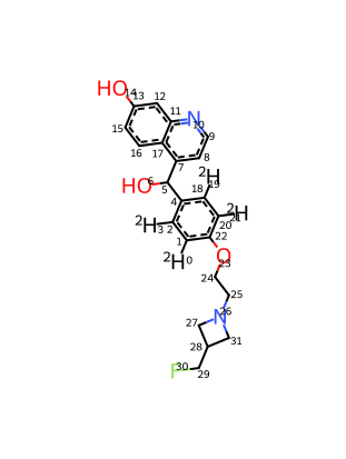 [2H]c1c([2H])c(C(O)c2ccnc3cc(O)ccc23)c([2H])c([2H])c1OCCN1CC(CF)C1